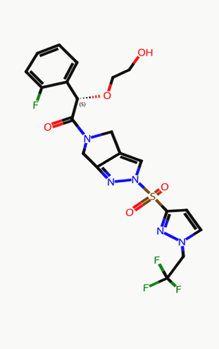 O=C([C@@H](OCCO)c1ccccc1F)N1Cc2cn(S(=O)(=O)c3ccn(CC(F)(F)F)n3)nc2C1